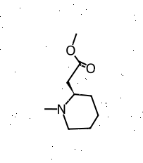 COC(=O)C[C@H]1CCCCN1C